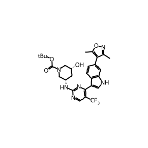 Cc1noc(C)c1-c1ccc2c(-c3nc(N[C@H]4C[C@@H](O)CN(C(=O)OC(C)(C)C)C4)ncc3C(F)(F)F)c[nH]c2c1